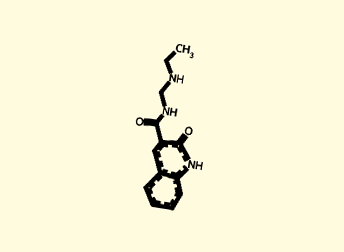 CCNCNC(=O)c1cc2ccccc2[nH]c1=O